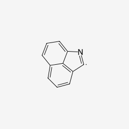 [C]1=Nc2cccc3cccc1c23